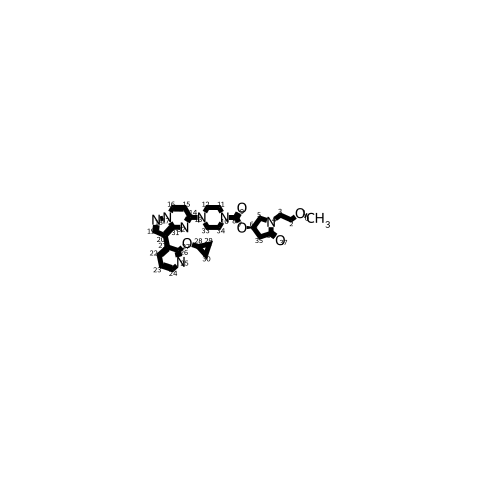 COCCN1C[C@H](OC(=O)N2CCN(c3ccn4ncc(-c5cccnc5OC5CC5)c4n3)CC2)CC1=O